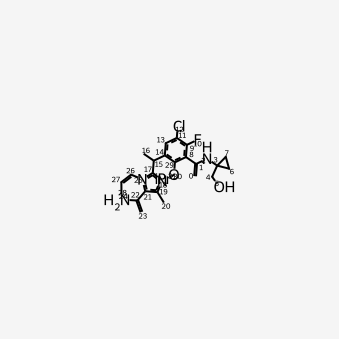 C=C(NC1(CO)CC1)c1c(F)c(Cl)cc(C(C)c2nc(C)c(C(=C)N)n2/C=C\C)c1OC(C)C